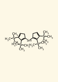 C[Si](C)(C)C1=CC[C]([Sm][C]2=C([Si](C)(C)C)C([Si](C)(C)C)=CC2)=C1[Si](C)(C)C